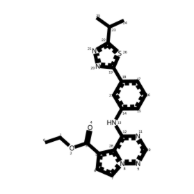 CCOC(=O)c1ccn2ncnc(Nc3cccc(-c4nnc(C(C)C)s4)c3)c12